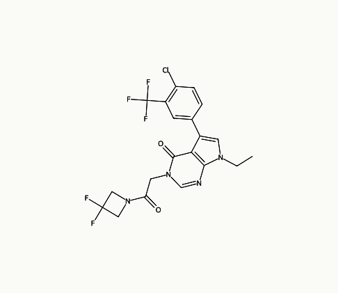 CCn1cc(-c2ccc(Cl)c(C(F)(F)F)c2)c2c(=O)n(CC(=O)N3CC(F)(F)C3)cnc21